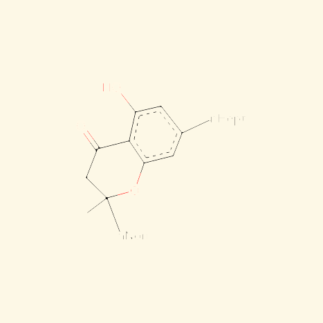 CCCCCCCCCC1(C)CC(=O)c2c(O)cc(CCCCCCC)cc2O1